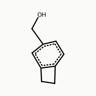 OCc1ccc2c(c1)CC2